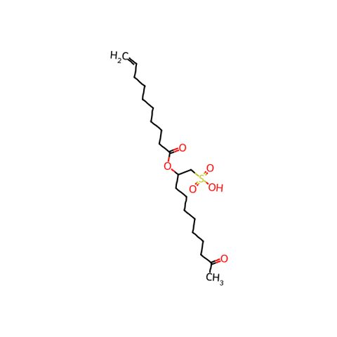 C=CCCCCCCCC(=O)OC(CCCCCCCC(C)=O)CS(=O)(=O)O